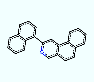 c1ccc2c(-c3cc4c(ccc5ccccc54)cn3)cccc2c1